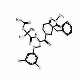 CN1N=C2CCN(C(=O)[C@@H](COc3cc(Cl)cc(Cl)c3)NC(=O)C(C)(C)OC(N)=O)C[C@@]2(Cc2ccccc2)C1=O